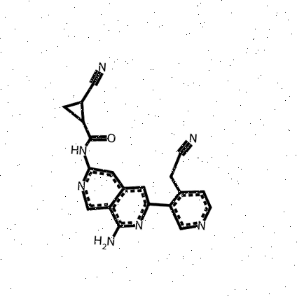 N#CCc1ccncc1-c1cc2cc(NC(=O)C3CC3C#N)ncc2c(N)n1